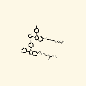 Cc1ccc(-n2c(-c3cccnc3)nc3ccc(OCCCCC(N)=O)cc32)cc1.Cc1ccc(-n2c(-c3cccs3)nc3ccc(OCCCCCC(=O)O)cc32)cc1